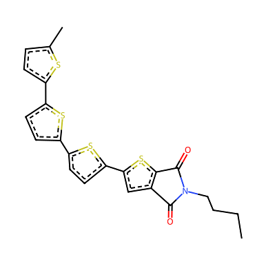 CCCCN1C(=O)c2cc(-c3ccc(-c4ccc(-c5ccc(C)s5)s4)s3)sc2C1=O